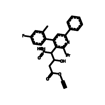 C#COC(=O)CC(O)C(c1c(-c2ccc(F)cc2C)cc(-c2ccccc2)nc1C(C)C)[PH](=O)O